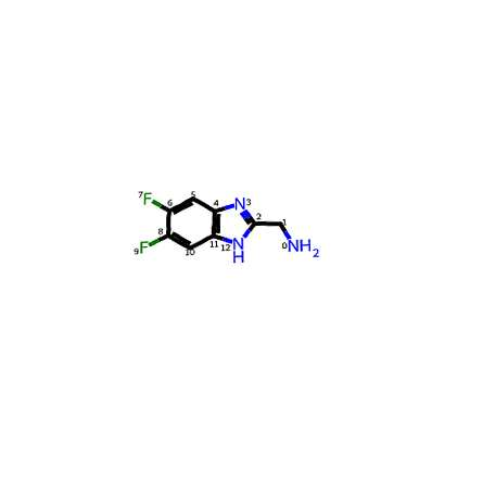 NCc1nc2cc(F)c(F)cc2[nH]1